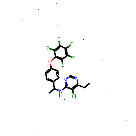 CCc1ncnc(NC(C)c2ccc(Oc3c(F)c(F)c(F)c(F)c3F)cc2)c1Cl